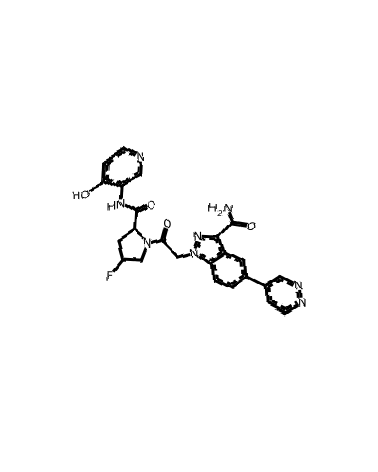 NC(=O)c1nn(CC(=O)N2CC(F)CC2C(=O)Nc2cnccc2O)c2ccc(-c3ccnnc3)cc12